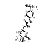 CCOC(=O)C[C@H](NC(=O)CNC(=O)Nc1ccc(C(=N)N)cc1)c1cccnc1